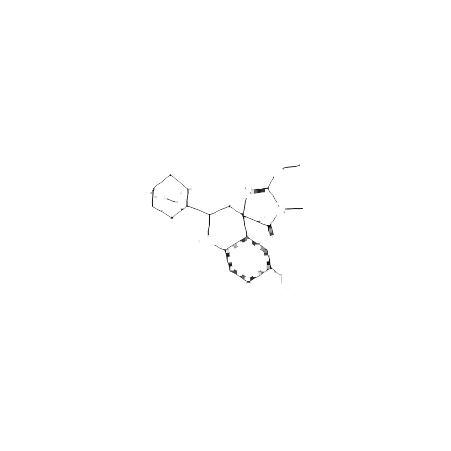 CSC1=NC2(CC(C34CCC(CC3)OC4)Oc3ccc(Br)cc32)C(=O)N1C